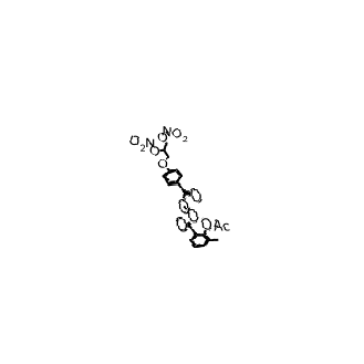 CC(=O)Oc1c(C)cccc1C(=O)OOC(=O)c1ccc(OCC(CO[N+](=O)[O-])O[N+](=O)[O-])cc1